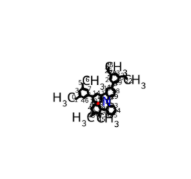 CCc1cc(CC)cc(-c2ccc3c(c2)c2cc(-c4cc(CC)cc(CC)c4)ccc2n3-c2ccccc2-c2cccc(C)c2C)c1